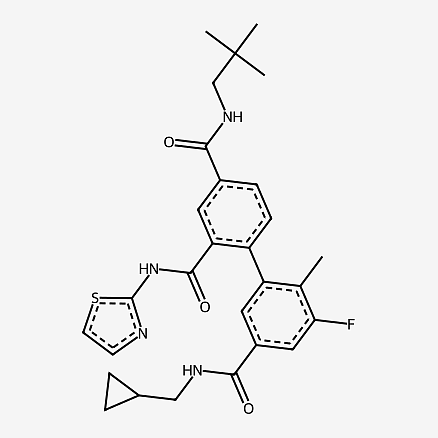 Cc1c(F)cc(C(=O)NCC2CC2)cc1-c1ccc(C(=O)NCC(C)(C)C)cc1C(=O)Nc1nccs1